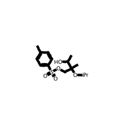 Cc1ccc(S(=O)(=O)OCC(C)(OC(C)C)C(C)O)cc1